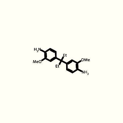 CCC(CC)(c1ccc(N)c(OC)c1)c1ccc(N)c(OC)c1